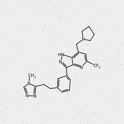 Cn1cnnc1CCc1cccc(-c2n[nH]c3c(CN4CCCC4)cc(C(F)(F)F)nc23)c1